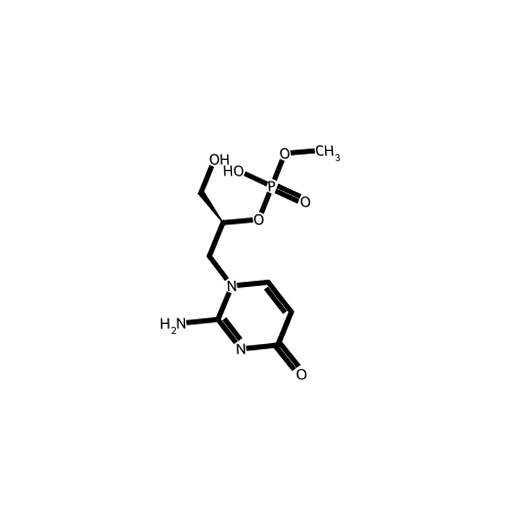 COP(=O)(O)O[C@H](CO)Cn1ccc(=O)nc1N